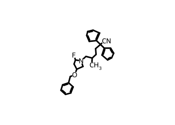 CC(CCC(C#N)(c1ccccc1)c1ccccc1)CN1CC(OCc2ccccc2)CC1F